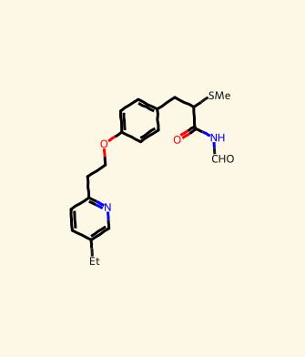 CCc1ccc(CCOc2ccc(CC(SC)C(=O)NC=O)cc2)nc1